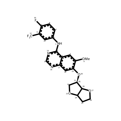 COc1cc2c(Nc3ccc(F)c(C(F)(F)F)c3)ncnc2cc1O[C@@H]1COC2CCOC21